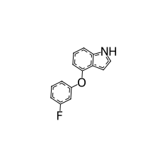 Fc1cccc(Oc2cccc3[nH]ccc23)c1